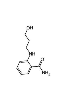 NC(=O)c1ccccc1NCCCO